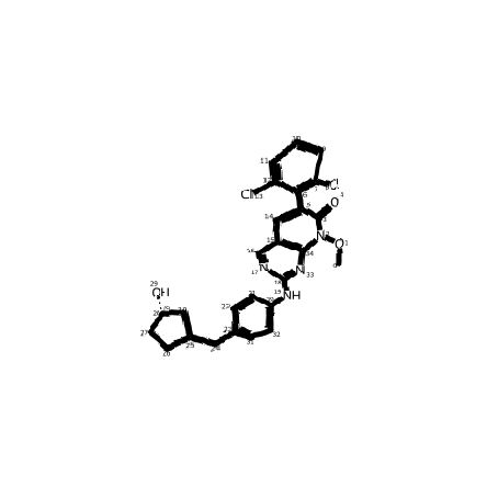 COn1c(=O)c(-c2c(Cl)cccc2Cl)cc2cnc(Nc3ccc(CC4CC[C@H](O)C4)cc3)nc21